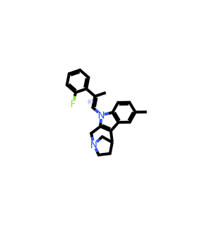 C/C(=C\n1c2c(c3cc(C)ccc31)C1CCN(C2)C1)c1ccccc1F